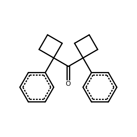 O=C(C1(c2ccccc2)CCC1)C1(c2ccccc2)CCC1